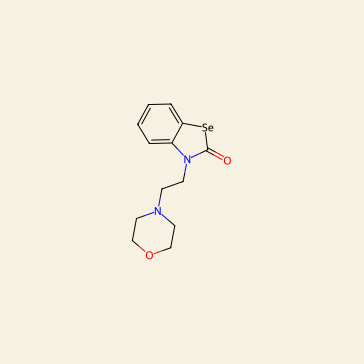 O=c1[se]c2ccccc2n1CCN1CCOCC1